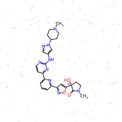 CN1CCC(n2cc(Nc3nccc(-c4cccc(-c5cc([C@]6(O)CCN(C)C6=O)on5)n4)n3)cn2)CC1